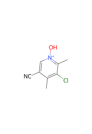 Cc1c(C#N)c[n+](O)c(C)c1Cl